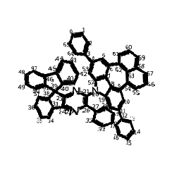 c1ccc(-c2cc3c4c5c(cc(-c6ccccc6)cc5n(-c5nc6c(nc5-c5ccccc5)-c5ccccc5C65c6ccccc6-c6ccccc65)c4c2)-c2cccc4cccc-3c24)cc1